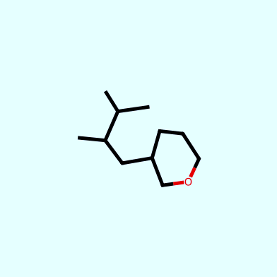 CC(C)C(C)CC1CCCOC1